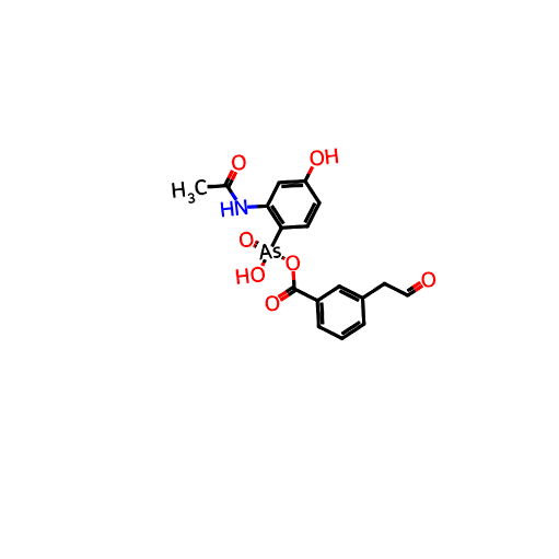 CC(=O)Nc1cc(O)ccc1[As](=O)(O)OC(=O)c1cccc(CC=O)c1